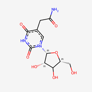 NC(=O)Cc1cn([C@@H]2O[C@H](CO)C(O)[C@@H]2O)c(=O)[nH]c1=O